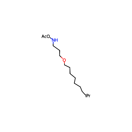 CC(=O)ONCCCOCCCCCCCC(C)C